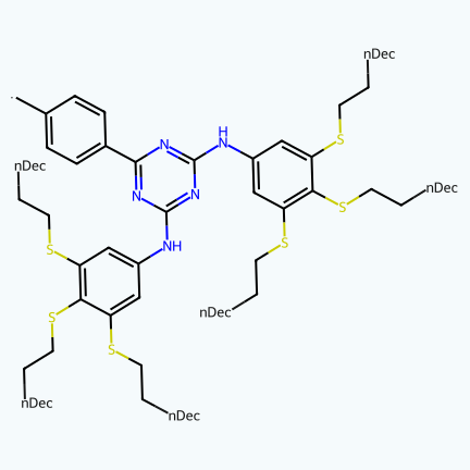 [CH2]c1ccc(-c2nc(Nc3cc(SCCCCCCCCCCCC)c(SCCCCCCCCCCCC)c(SCCCCCCCCCCCC)c3)nc(Nc3cc(SCCCCCCCCCCCC)c(SCCCCCCCCCCCC)c(SCCCCCCCCCCCC)c3)n2)cc1